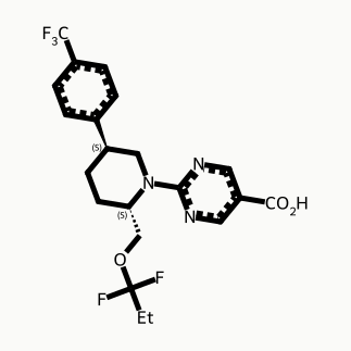 CCC(F)(F)OC[C@@H]1CC[C@@H](c2ccc(C(F)(F)F)cc2)CN1c1ncc(C(=O)O)cn1